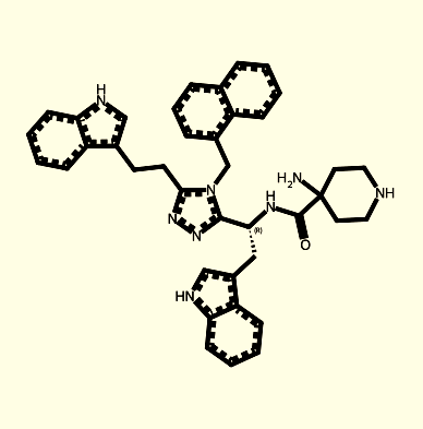 NC1(C(=O)N[C@H](Cc2c[nH]c3ccccc23)c2nnc(CCc3c[nH]c4ccccc34)n2Cc2cccc3ccccc23)CCNCC1